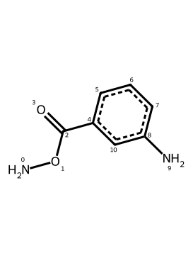 NOC(=O)c1cccc(N)c1